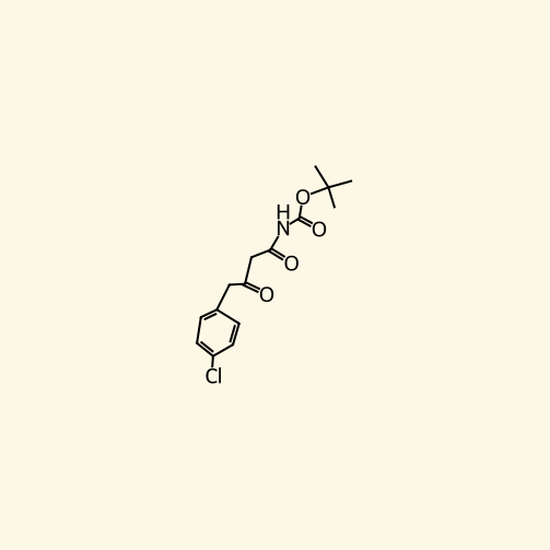 CC(C)(C)OC(=O)NC(=O)CC(=O)Cc1ccc(Cl)cc1